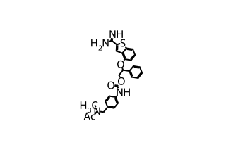 CC(=O)N(C)Cc1ccc(NC(=O)OCC(Oc2cccc3sc(C(=N)N)cc23)c2ccccc2)cc1